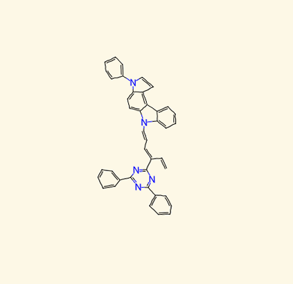 C=C/C(=C\C=C\n1c2ccccc2c2c3ccn(-c4ccccc4)c3ccc21)c1nc(-c2ccccc2)nc(-c2ccccc2)n1